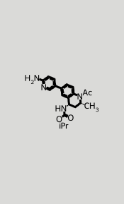 CC(=O)N1c2ccc(-c3ccc(N)nc3)cc2[C@@H](NC(=O)OC(C)C)C[C@H]1C